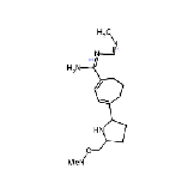 C/N=C\N=C(\N)C1=CC=C(C2CCC(CONC)N2)CCC1